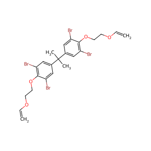 C=COCCOc1c(Br)cc(C(C)(C)c2cc(Br)c(OCCOC=C)c(Br)c2)cc1Br